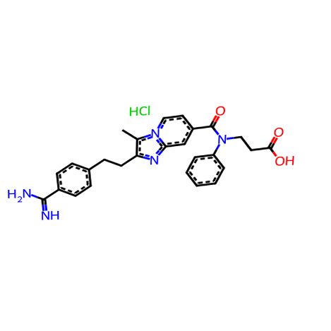 Cc1c(CCc2ccc(C(=N)N)cc2)nc2cc(C(=O)N(CCC(=O)O)c3ccccc3)ccn12.Cl